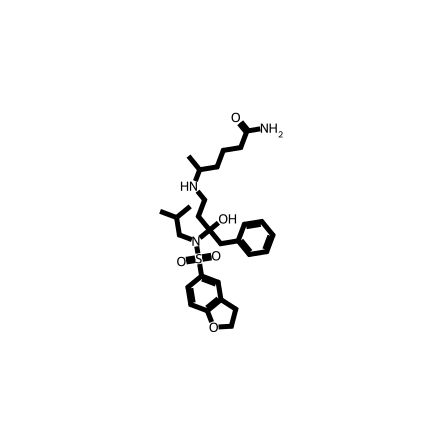 CC(C)CN(C(O)(CCNC(C)CCCC(N)=O)Cc1ccccc1)S(=O)(=O)c1ccc2c(c1)CCO2